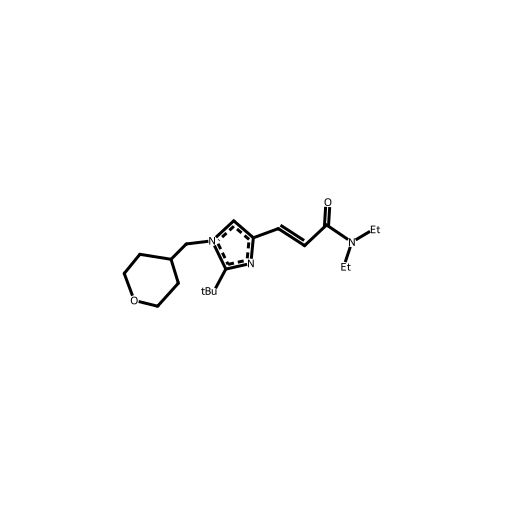 CCN(CC)C(=O)C=Cc1cn(CC2CCOCC2)c(C(C)(C)C)n1